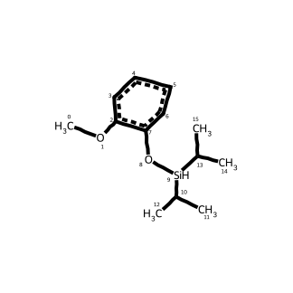 COc1ccccc1O[SiH](C(C)C)C(C)C